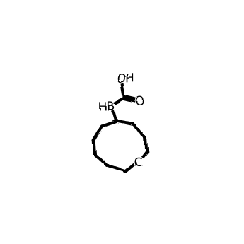 O=C(O)BC1CCCCCCCCC1